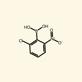 O=[N+]([O-])c1cccc(Cl)c1B(O)O